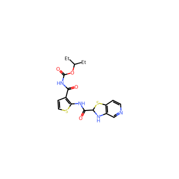 CCC(CC)OC(=O)NC(=O)c1ccsc1NC(=O)C1Nc2cnccc2S1